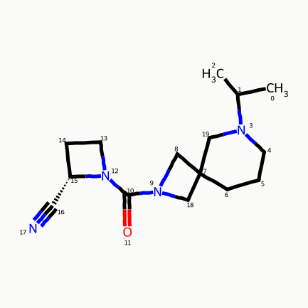 CC(C)N1CCCC2(CN(C(=O)N3CC[C@H]3C#N)C2)C1